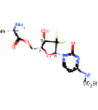 CCOC(=O)Nc1ccn([C@@H]2O[C@H](COC(=O)[C@@H](N)C(C)C)[C@@H](O)C2(F)F)c(=O)n1